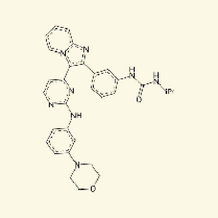 CC(C)NC(=O)Nc1cccc(-c2nc3ccccn3c2-c2ccnc(Nc3cccc(N4CCOCC4)c3)n2)c1